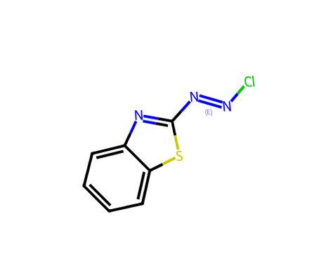 Cl/N=N/c1nc2ccccc2s1